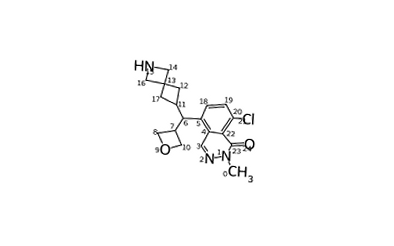 Cn1ncc2c(C(C3COC3)C3CC4(CNC4)C3)ccc(Cl)c2c1=O